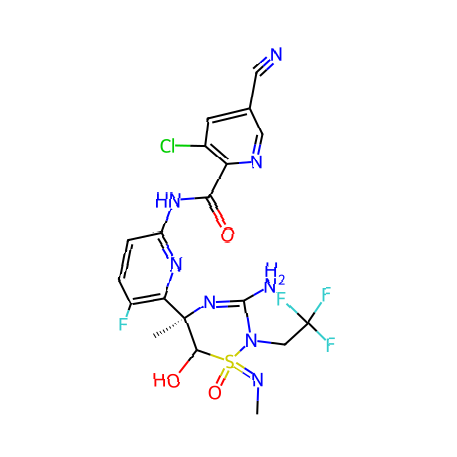 CN=S1(=O)C(O)[C@@](C)(c2nc(NC(=O)c3ncc(C#N)cc3Cl)ccc2F)N=C(N)N1CC(F)(F)F